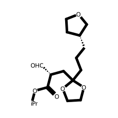 CC(C)OC(=O)[C@H](C=O)CC1(CCC[C@@H]2CCOC2)OCCO1